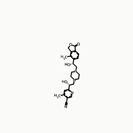 Cc1cc([C@H](O)CN2CCN(C[C@H](O)c3ccc4c(c3C)COC4=O)CC2)ncc1C#N